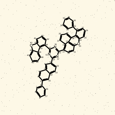 c1ccc(-c2ccc3cc(-c4nc(-c5ccc6c7c(cccc57)-c5c(cccc5-c5ccccc5)O6)nc(-c5cccc6oc7ccccc7c56)n4)ccc3c2)cc1